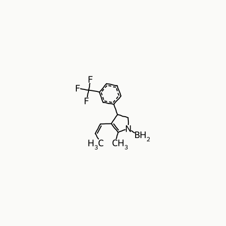 BN1CC(c2cccc(C(F)(F)F)c2)C(/C=C\C)=C1C